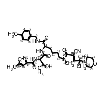 Cc1ccc(CNC(=O)C(CCCCN(C)C(=O)C(C#N)=CC(C)(C)N2CCOCC2)NC(=O)[C@@H](NC(=O)c2cc(C)on2)[C@@H](C)O)cc1